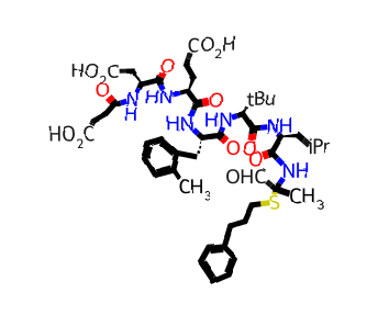 Cc1ccccc1C[C@H](NC(=O)[C@H](CCC(=O)O)NC(=O)[C@H](CC(=O)O)NC(=O)CCC(=O)O)C(=O)N[C@H](C(=O)N[C@@H](CC(C)C)C(=O)NC(C)(C=O)SCCCc1ccccc1)C(C)(C)C